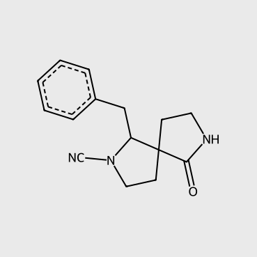 N#CN1CCC2(CCNC2=O)C1Cc1ccccc1